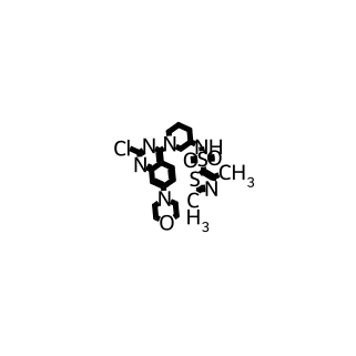 Cc1nc(C)c(S(=O)(=O)NC2CCCN(c3nc(Cl)nc4cc(N5CCOCC5)ccc34)C2)s1